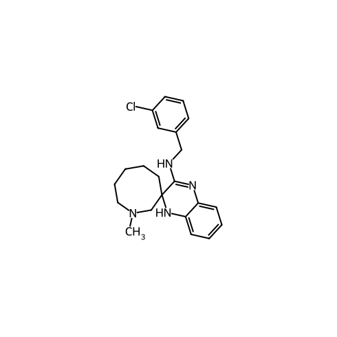 CN1CCCCCC2(C1)Nc1ccccc1N=C2NCc1cccc(Cl)c1